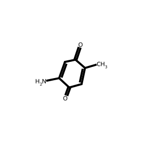 CC1=CC(=O)C(N)=CC1=O